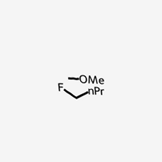 CCCCF.COC